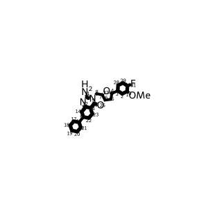 COc1cc(C2CCC(Cn3c(N)nc4cc(-c5ccccc5)ccc4c3=O)O2)ccc1F